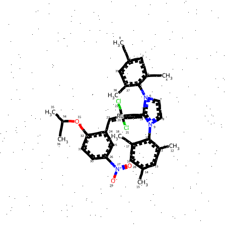 Cc1cc(C)c(-n2ccn(-c3c(C)cc(C)cc3C)[c]2=[Ru]([Cl])([Cl])=[CH]c2cc([N+](=O)[O-])ccc2OC(C)C)c(C)c1